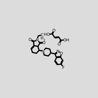 CCN1C(=O)C2=CCCC(N3CCC(c4noc5cc(F)ccc45)CC3)C2C1=O.O=C(O)C=CC(=O)O